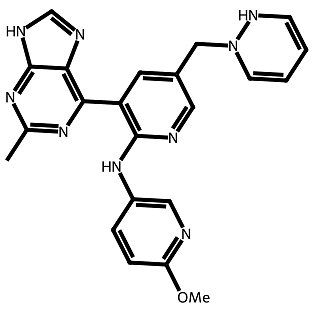 COc1ccc(Nc2ncc(CN3C=CC=CN3)cc2-c2nc(C)nc3[nH]cnc23)cn1